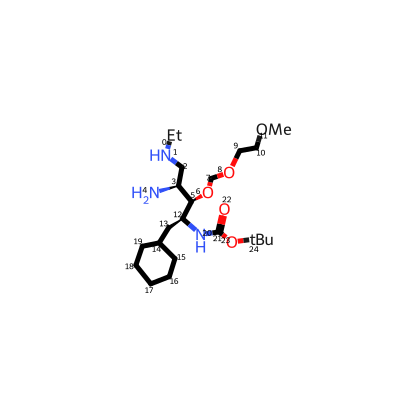 CCNC[C@H](N)[C@@H](OCOCCOC)[C@H](CC1CCCCC1)NC(=O)OC(C)(C)C